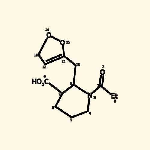 CCC(=O)N1CCCC(C(=O)O)C1CC1=CCOO1